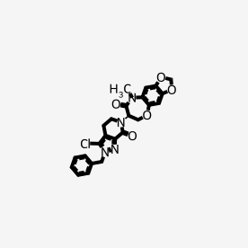 CN1C(=O)[C@@H](N2CCc3c(nn(Cc4ccccc4)c3Cl)C2=O)COc2cc3c(cc21)OCO3